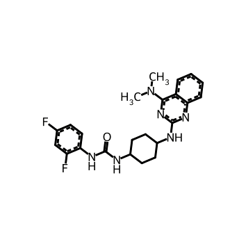 CN(C)c1nc(NC2CCC(NC(=O)Nc3ccc(F)cc3F)CC2)nc2ccccc12